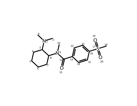 CN(C)C1CCCCC1N(C)C(=O)c1ccc(S(C)(=O)=O)cc1